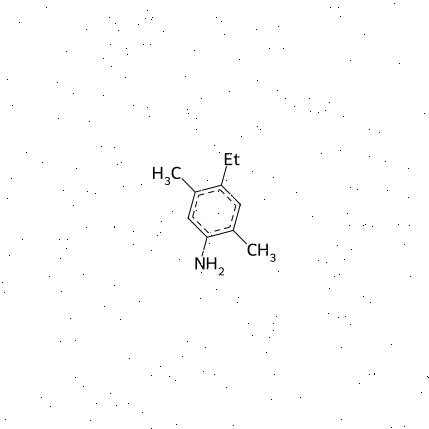 CCc1cc(C)c(N)cc1C